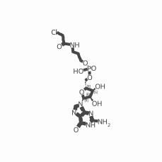 Nc1nc2c(ncn2[C@@H]2O[C@H](COP(=O)(O)OCCCNC(=O)CCl)[C@@H](O)[C@H]2O)c(=O)[nH]1